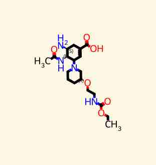 CCOC(=O)NCCO[C@@H]1CCCN(C2C=C(C(=O)O)C[C@H](N)[C@H]2NC(C)=O)C1